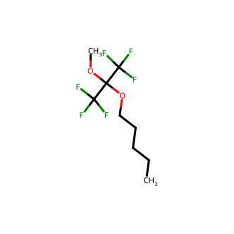 CCCCCOC(OC)(C(F)(F)F)C(F)(F)F